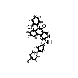 CN1CCN(c2ccc(Nc3ncc4c(=O)n(-c5ccccc5Cl)c5ncccc5c4n3)cc2)CC1